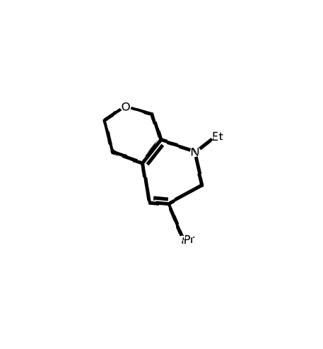 CCN1CC(C(C)C)=CC2=C1COCC2